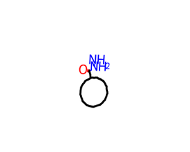 NNC(=O)C1CCCCCCCCCCCC1